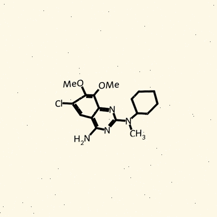 COc1c(Cl)cc2c(N)nc(N(C)C3CCCCC3)nc2c1OC